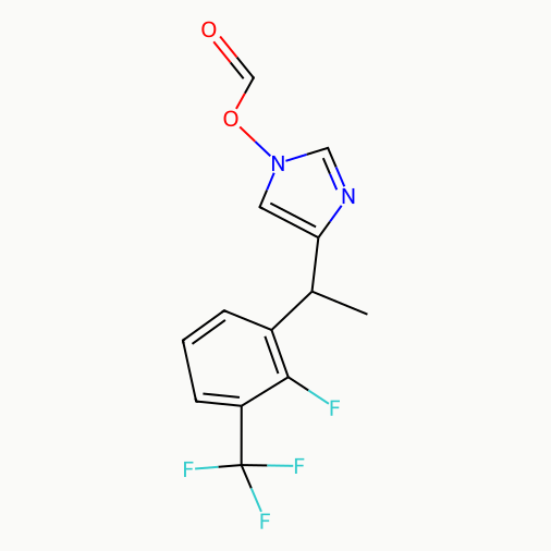 CC(c1cn(OC=O)cn1)c1cccc(C(F)(F)F)c1F